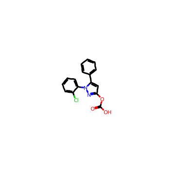 O=C(O)Oc1cc(-c2ccccc2)n(-c2ccccc2Cl)n1